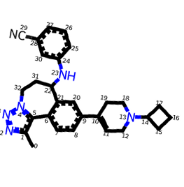 Cc1nnn2c1-c1ccc(C3=CCN(C4CCC4)CC3)cc1C(Nc1cccc(C#N)c1)CC2